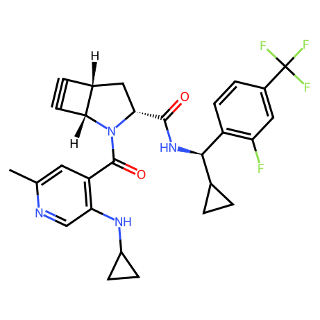 Cc1cc(C(=O)N2[C@@H](C(=O)N[C@@H](c3ccc(C(F)(F)F)cc3F)C3CC3)C[C@H]3C#C[C@H]32)c(NC2CC2)cn1